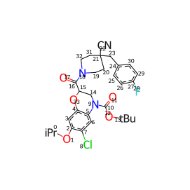 CC(C)Oc1cc2c(cc1Cl)N(C(=O)OC(C)(C)C)CC(C(=O)N1CCC(C#N)(Cc3ccc(F)cc3)CC1)O2